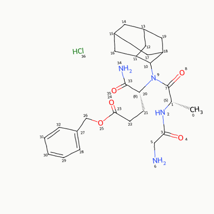 C[C@H](NC(=O)CN)C(=O)N(C1C2CC3CC(C2)CC1C3)[C@H](CCC(=O)OCc1ccccc1)C(N)=O.Cl